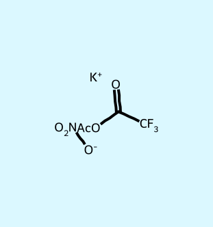 CC(=O)OC(=O)C(F)(F)F.O=[N+]([O-])[O-].[K+]